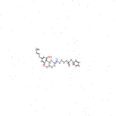 CCCC=CCc1cc(O)c2c(c1)OCC1CCC(NCCCCC(=O)Cc3ccccc3)CC21